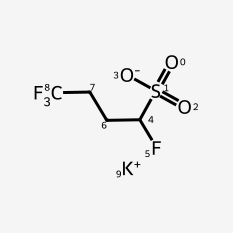 O=S(=O)([O-])C(F)CCC(F)(F)F.[K+]